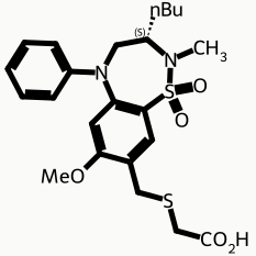 CCCC[C@H]1CN(c2ccccc2)c2cc(OC)c(CSCC(=O)O)cc2S(=O)(=O)N1C